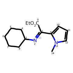 CCOC(=O)/C(=N\C1CCCCC1)c1cccn1C